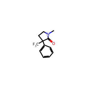 CN1CCC(c2ccccc2)(C(F)(F)F)C1=O